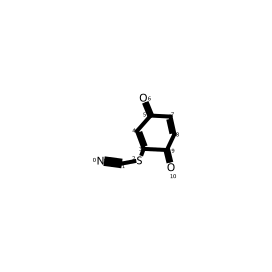 N#CSC1=CC(=O)C=CC1=O